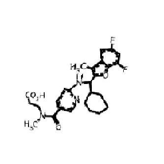 Cc1c(C(Nc2ccc(C(=O)N(C)CCC(=O)O)cn2)C2CCCCC2)oc2c(F)cc(F)cc12